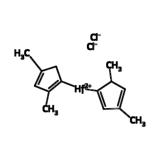 CC1=CC(C)[C]([Hf+2][C]2=C(C)C=C(C)C2)=C1.[Cl-].[Cl-]